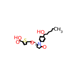 CCCCCC(O)c1ccc(N2C(=O)CC[C@@H]2COCc2ccc(C(=O)O)s2)cc1